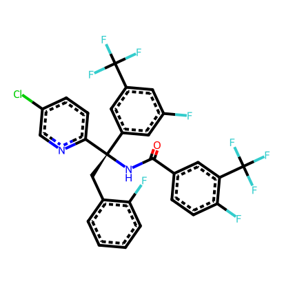 O=C(N[C@@](Cc1ccccc1F)(c1cc(F)cc(C(F)(F)F)c1)c1ccc(Cl)cn1)c1ccc(F)c(C(F)(F)F)c1